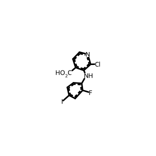 O=C(O)c1ccnc(Cl)c1Nc1ccc(I)cc1F